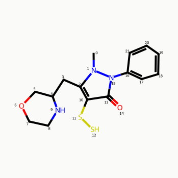 Cn1c(CC2COCCN2)c(SS)c(=O)n1-c1ccccc1